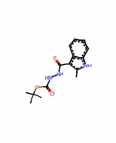 Cc1[nH]c2ccccc2c1C(=O)NNC(=O)OC(C)(C)C